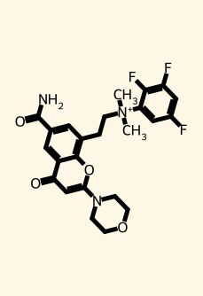 C[N+](C)(CCc1cc(C(N)=O)cc2c(=O)cc(N3CCOCC3)oc12)c1cc(F)cc(F)c1F